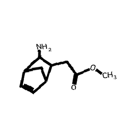 COC(=O)CC1C2C=CC(C2)C1N